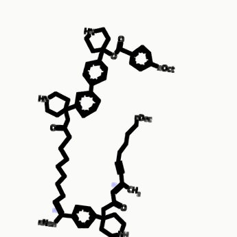 CCCCCCCCCCCCCCC#C/C(C)=C/C(=O)CC1(c2ccc(/C(=C\CCCCCCCC(=O)CC3(c4cccc(-c5ccc(C6(OC(=O)c7ccc(CCCCCCCC)cc7)CCNCC6)cc5)c4)CCNCC3)CCCCCCCCC)cc2)CCNCC1